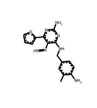 Cc1cc(CNc2nc(N)nc(-c3ccco3)c2N=N)ccc1N